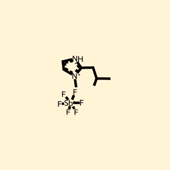 CC(C)Cc1[nH]cc[n+]1C.[F][Sb-]([F])([F])([F])([F])[F]